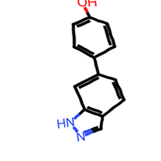 Oc1ccc(-c2ccc3cn[nH]c3c2)cc1